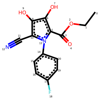 CCOC(=O)c1c(O)c(O)c(C#N)n1-c1ccc(F)cc1